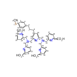 N#CSc1ccc(CCCc2cc(CN(Cc3cccc(C(=O)O)n3)Cc3cccc(C(=O)O)n3)nc(CN(Cc3cccc(C(=O)O)n3)Cc3cccc(C(=O)O)n3)c2)cc1